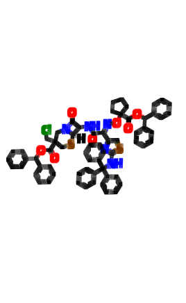 O=C(NC1C(=O)N2CC(CCl)(C(=O)OC(c3ccccc3)c3ccccc3)CS[C@H]12)C(=NOC1(C(=O)OC(c2ccccc2)c2ccccc2)CCCC1)c1csc(NC(c2ccccc2)(c2ccccc2)c2ccccc2)n1